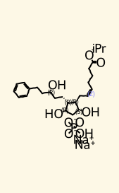 CC(C)OC(=O)CCC/C=C\C[C@@H]1[C@@H](CC[C@@H](O)CCc2ccccc2)[C@H](O)C[C@@H]1O.O=P([O-])([O-])O.[Na+].[Na+]